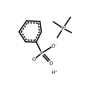 C[P+](C)(C)C.O=P([O-])([O-])c1ccccc1.[H+]